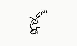 CCc1ncccc1CN1CCN(C2=CCNC=C2)[C@H](CC)C1